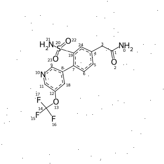 NC(=O)Cc1ccc(-c2cncc(OC(F)(F)F)c2)c(S(N)(=O)=O)c1